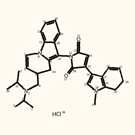 CC(C)N(CC1C=Cn2c(c(N3C(=O)C=C(c4cn(C)c5c4C=CCC5)C3=O)c3ccccc32)C1)C(C)C.Cl